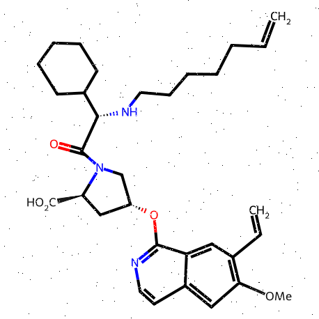 C=CCCCCCN[C@H](C(=O)N1C[C@H](Oc2nccc3cc(OC)c(C=C)cc23)C[C@H]1C(=O)O)C1CCCCC1